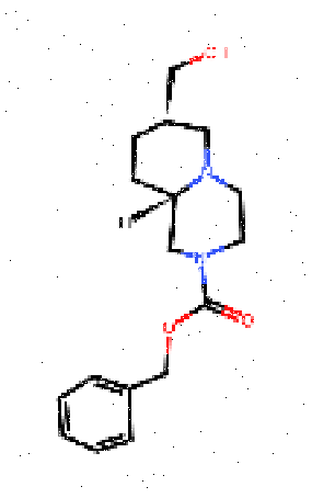 O=C(OCc1ccccc1)N1CCN2C[C@H](CO)CC[C@H]2C1